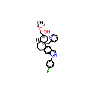 CCOC[C@@]1(O)CC[C@@]2(Cc3ccccn3)c3cc4cnn(-c5ccc(F)cc5)c4cc3CCC[C@H]2C1